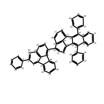 c1ccc(-c2cc3c4c(c(-c5ccc6c7c(cccc57)-c5c-6c(-c6ccccc6)c6ccccc6c5-c5ccccc5)ccc4n2)-c2ccccc2-3)cc1